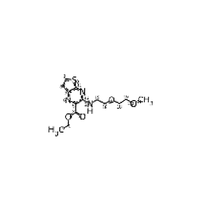 CCOC(=O)c1nc2ccsc2nc1NCCOCCOC